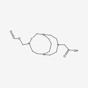 O=COCN1CCN2CCCN(CC1)CCN(CC(=O)O)CC2